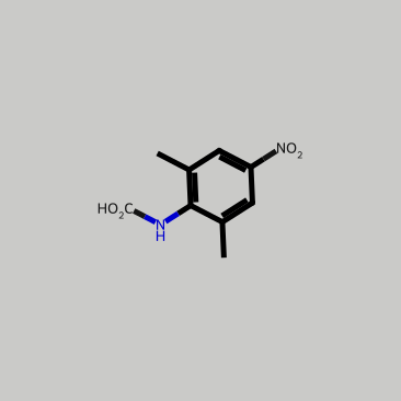 Cc1cc([N+](=O)[O-])cc(C)c1NC(=O)O